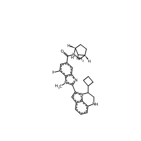 Cn1c(-c2cc3cccc4c3n2C(C2CCC2)CN4)nc2cc(C(=O)N3C[C@H]4CC[C@@H]3[C@@H]4N)cc(F)c21